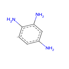 Nc1c[c]c(N)c(N)c1